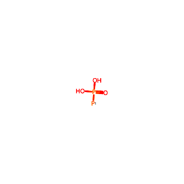 O=P(O)(O)[P]